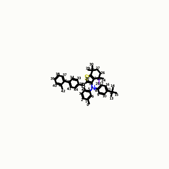 Cc1ccc2c(c1)N(c1ccc(C(C)(C)C)cc1)c1c(sc3c1C(C)(I)CCC3(C)C)B2c1ccc(-c2ccccc2C)cc1